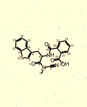 CN(C#N)C(=O)C(Cc1csc2ccccc12)NC(=O)c1ccccc1C(=O)O